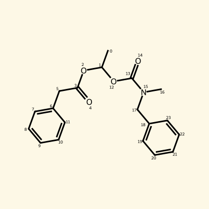 CC(OC(=O)Cc1ccccc1)OC(=O)N(C)Cc1ccccc1